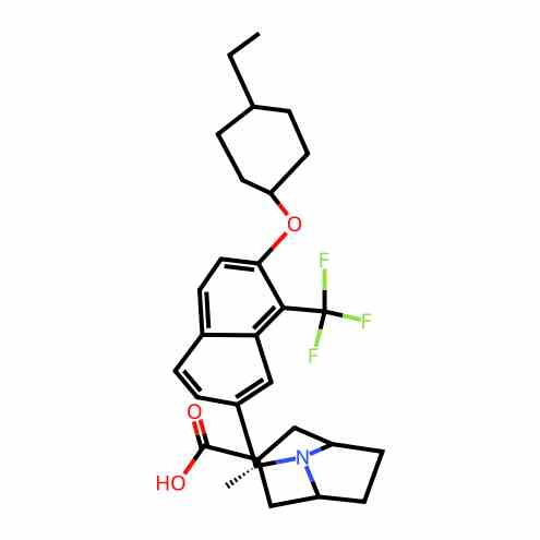 CCC1CCC(Oc2ccc3ccc([C@@H](C)N4C5CCC4CC(C(=O)O)C5)cc3c2C(F)(F)F)CC1